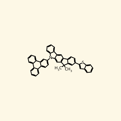 CC1(C)c2cc(-c3cc4ccccc4s3)ccc2-c2cc3c4ccccc4n(-c4ccc5c6ccccc6c6ccccc6c5c4)c3cc21